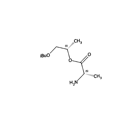 CC(C)COC[C@H](C)OC(=O)[C@H](C)N